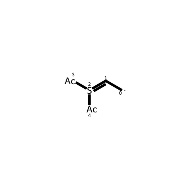 [CH2]C=S(C(C)=O)C(C)=O